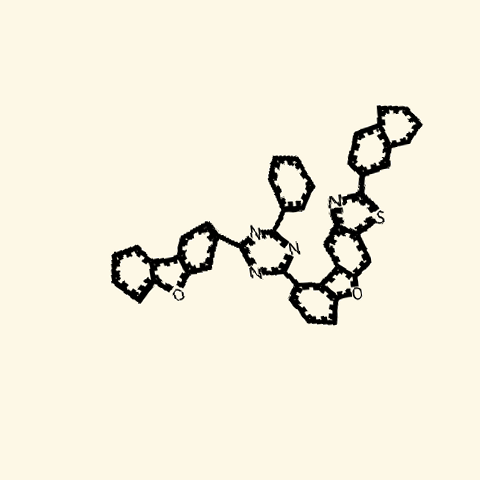 c1ccc(-c2nc(-c3ccc4c(c3)oc3ccccc34)nc(-c3cccc4oc5cc6sc(-c7ccc8ccccc8c7)nc6cc5c34)n2)cc1